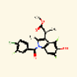 CCCOC(=O)[C@@H](C)c1c(C)n(C(=O)c2ccc(Cl)c(F)c2)c2cc(F)c(O)c(F)c12